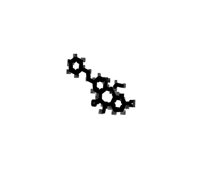 CCN1c2ncc(C=Cc3ccncc3)cc2C(=O)N(C)c2ccc(Cl)nc21